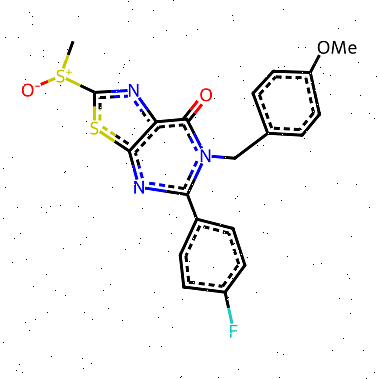 COc1ccc(Cn2c(-c3ccc(F)cc3)nc3sc([S+](C)[O-])nc3c2=O)cc1